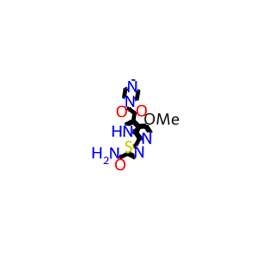 COc1cnc(-c2ncc(C(N)=O)s2)c2[nH]cc(C(=O)C(=O)N3CCN(C)CC3)c12